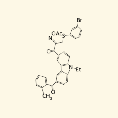 CCn1c2ccc(C(=O)/C(CSc3cccc(Br)c3)=N/OC(C)=O)cc2c2cc(C(=O)c3ccccc3C)ccc21